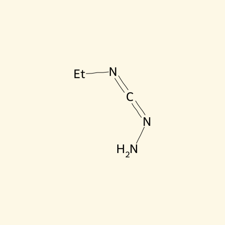 CCN=C=NN